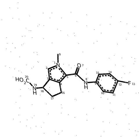 Cn1cc2c(c1C(=O)Nc1ccc(F)cc1)CCC2NC(=O)O